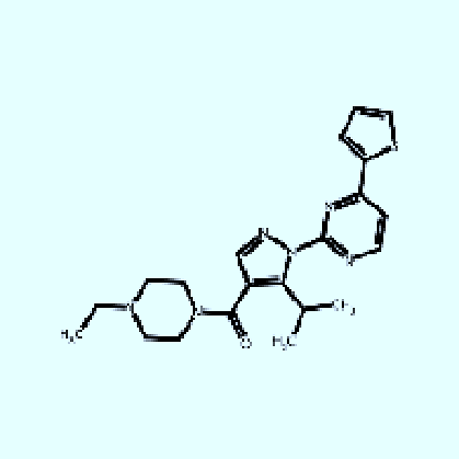 CCN1CCN(C(=O)c2cnn(-c3nccc(-c4cccs4)n3)c2C(C)C)CC1